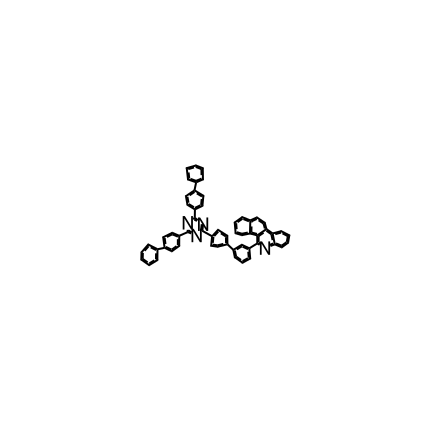 c1ccc(-c2ccc(-c3nc(-c4ccc(-c5ccccc5)cc4)nc(-c4ccc(-c5cccc(-c6nc7ccccc7c7ccc8ccccc8c67)c5)cc4)n3)cc2)cc1